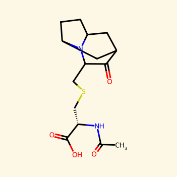 CC(=O)N[C@@H](CSCC1C(=O)C2CC3CCC(C2)N31)C(=O)O